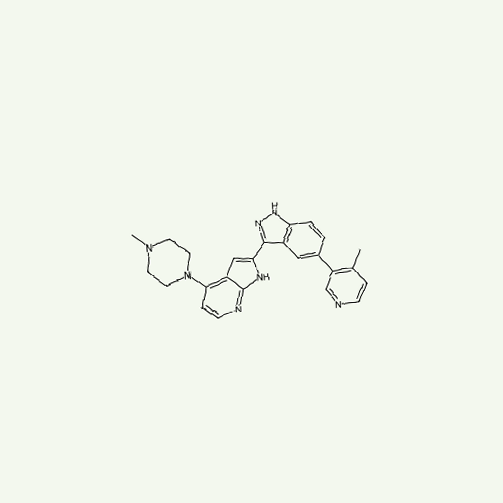 Cc1ccncc1-c1ccc2[nH]nc(-c3cc4c(N5CCN(C)CC5)ccnc4[nH]3)c2c1